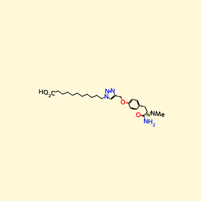 CN[C@@H](Cc1ccc(OCc2cn(CCCCCCCCCCC(=O)O)nn2)cc1)C(N)=O